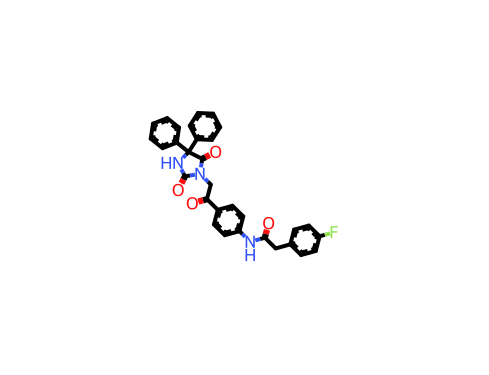 O=C(Cc1ccc(F)cc1)Nc1ccc(C(=O)CN2C(=O)NC(c3ccccc3)(c3ccccc3)C2=O)cc1